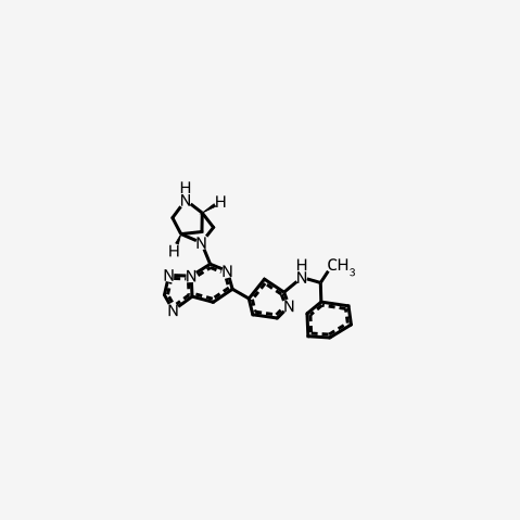 CC(Nc1cc(-c2cc3ncnn3c(N3C[C@@H]4C[C@H]3CN4)n2)ccn1)c1ccccc1